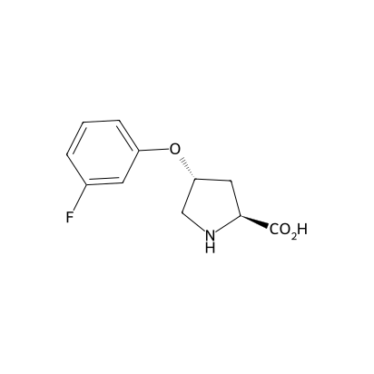 O=C(O)[C@@H]1C[C@@H](Oc2cccc(F)c2)CN1